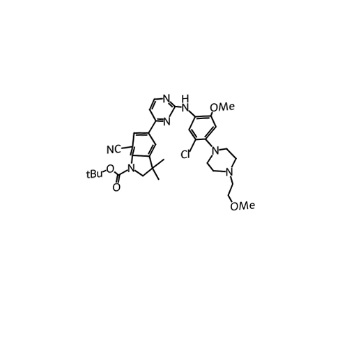 COCCN1CCN(c2cc(OC)c(Nc3nccc(-c4cc(C#N)c5c(c4)C(C)(C)CN5C(=O)OC(C)(C)C)n3)cc2Cl)CC1